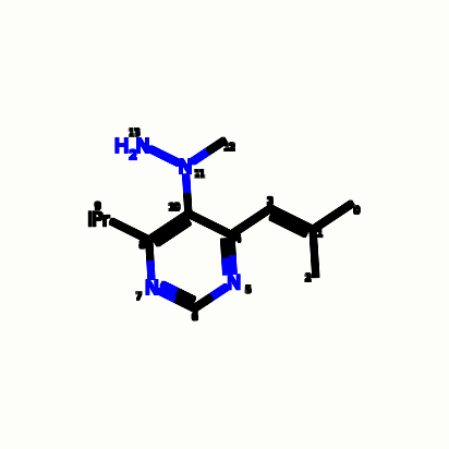 CC(C)=Cc1ncnc(C(C)C)c1N(C)N